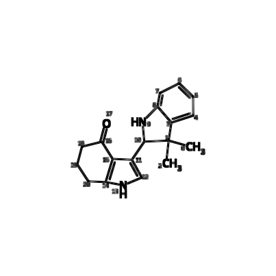 CC1(C)c2ccccc2NC1c1c[nH]c2c1C(=O)CCC2